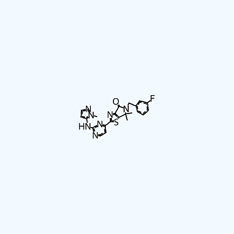 Cn1nccc1Nc1nccc(-c2nc3c(s2)C(C)(C)N(Cc2cccc(F)c2)C3=O)n1